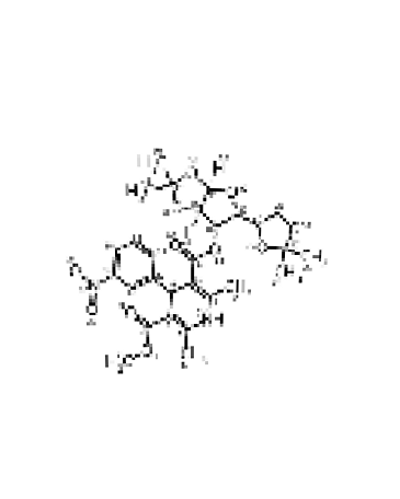 COC(=O)C1=C(C)NC(C)=C(C(=O)O[C@@H]2[C@H]3OC(C)(C)O[C@H]3O[C@@H]2[C@H]2COC(C)(C)O2)C1c1cccc([N+](=O)[O-])c1